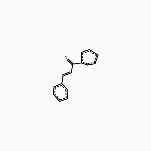 O=C(/C=C/c1[c]cccc1)c1ccccc1